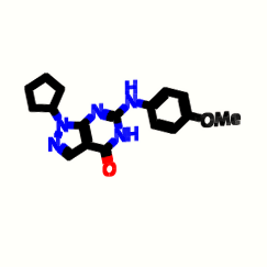 COc1ccc(Nc2nc3c(cnn3C3CCCC3)c(=O)[nH]2)cc1